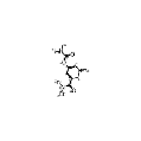 CCN(CC)C(=O)C1=CC(OC(=O)N(C)C)=CN(C)C1